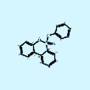 S=P1(Oc2ccccc2)Oc2ccccc2-c2ccccc21